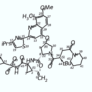 C=C[C@@H]1CC1(NC(=O)[C@@H]1C[C@@H](Oc2cc(-c3nc(C(C)C)cs3)nc3c(C)c(OC)ccc23)CN1C(=O)[C@@H](CC(=O)N1CCCCC1)C(C)(C)C)C(=O)NS(=O)(=O)C1CC1